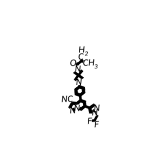 C=C(C)C(=O)N1CC2(C1)CN(c1ccc(-c3cc(-c4cnn(CC(F)F)c4)cn4ncc(C#N)c34)cc1)C2